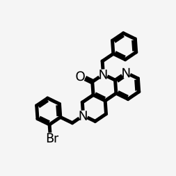 O=c1c2c(c3cccnc3n1Cc1ccccc1)CCN(Cc1ccccc1Br)C2